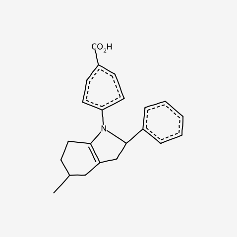 CC1CCC2=C(C1)CC(c1ccccc1)N2c1ccc(C(=O)O)cc1